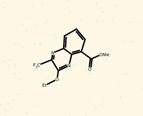 CCOc1nc2c(C(=O)OC)cccc2nc1C(F)(F)F